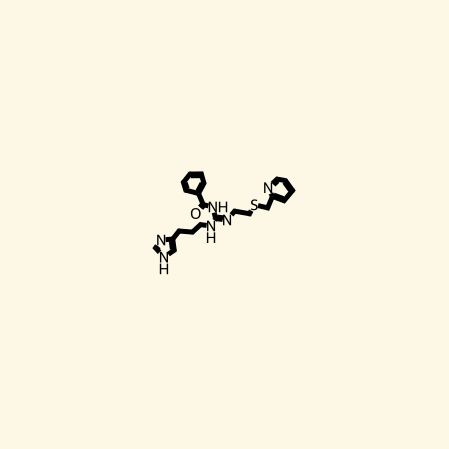 O=C(NC(=NCCSCc1ccccn1)NCCCc1c[nH]cn1)c1ccccc1